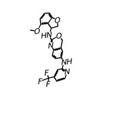 COc1cccc2c1C(NC1=Nc3ccc(Nc4cc(C(F)(F)F)ccn4)cc3CO1)CO2